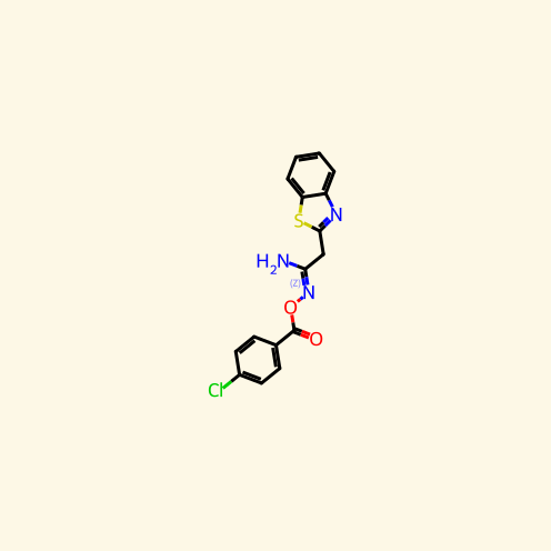 N/C(Cc1nc2ccccc2s1)=N\OC(=O)c1ccc(Cl)cc1